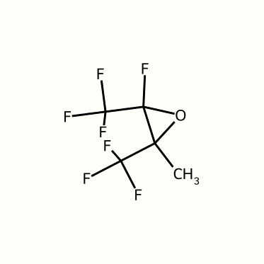 CC1(C(F)(F)F)OC1(F)C(F)(F)F